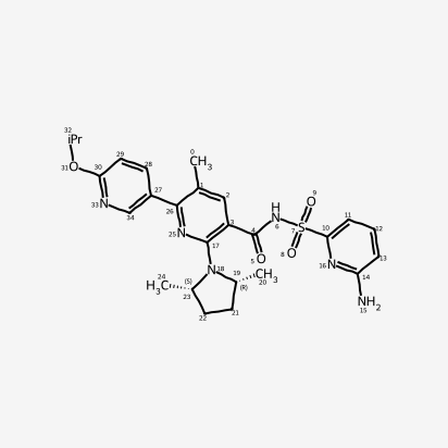 Cc1cc(C(=O)NS(=O)(=O)c2cccc(N)n2)c(N2[C@H](C)CC[C@@H]2C)nc1-c1ccc(OC(C)C)nc1